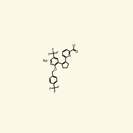 O=C([O-])c1cccc(C2=C(c3cc(C(F)(F)F)cnc3OCc3ccc(C(F)(F)F)cc3)CCC2)n1.[Na+]